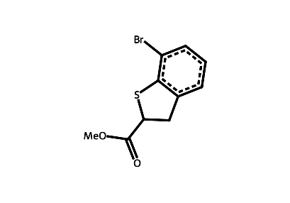 COC(=O)C1Cc2cccc(Br)c2S1